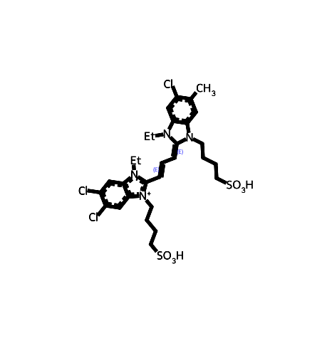 CCN1/C(=C\C=C\c2n(CC)c3cc(Cl)c(Cl)cc3[n+]2CCCCS(=O)(=O)O)N(CCCCS(=O)(=O)O)c2cc(C)c(Cl)cc21